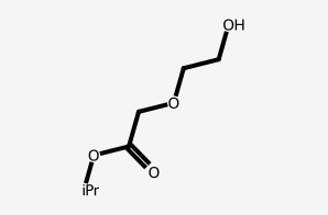 CC(C)OC(=O)COCCO